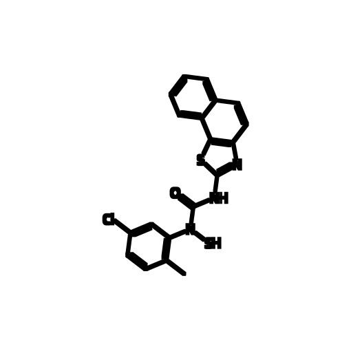 Cc1ccc(Cl)cc1N(S)C(=O)Nc1nc2ccc3ccccc3c2s1